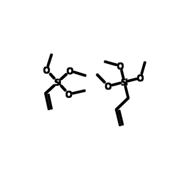 C=CC[Si](OC)(OC)OC.C=C[Si](OC)(OC)OC